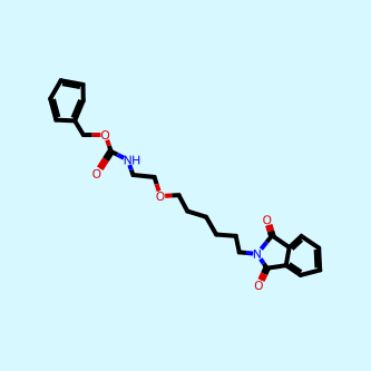 O=C(NCCOCCCCCCN1C(=O)c2ccccc2C1=O)OCc1ccccc1